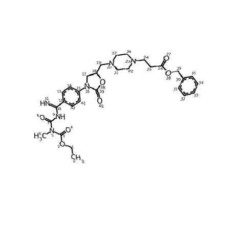 CCOC(=O)N(C)C(=O)NC(=N)c1ccc(N2CC(CN3CCN(CCC(=O)OCc4ccccc4)CC3)OC2=O)cc1